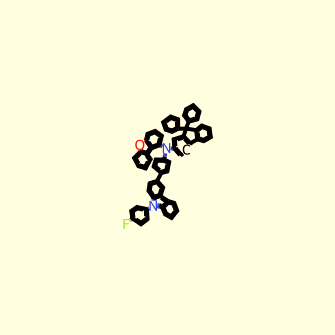 Fc1ccc(-n2c3ccccc3c3cc(-c4ccc(N(c5ccc6c(c5)C(c5ccccc5)(c5ccccc5)c5ccccc5-6)c5cccc6oc7ccccc7c56)cc4)ccc32)cc1